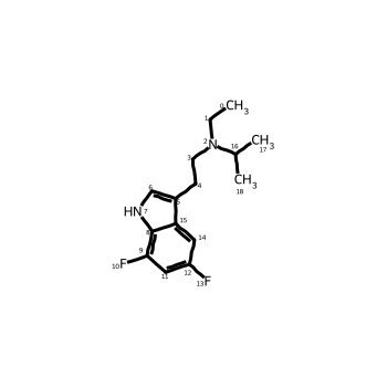 CCN(CCc1c[nH]c2c(F)cc(F)cc12)C(C)C